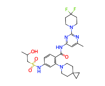 Cc1cc(NC(=O)c2ccc(NS(=O)(=O)CC(C)O)cc2N2CCC3(CC2)CC3)nc(N2CCC(F)(F)CC2)n1